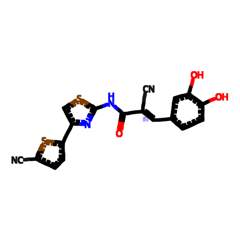 N#C/C(=C\c1ccc(O)c(O)c1)C(=O)Nc1nc(-c2ccc(C#N)s2)cs1